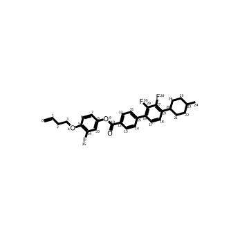 C=CCCOc1ccc(OC(=O)c2ccc(-c3ccc(C4CCC(C)CC4)c(F)c3F)cc2)cc1F